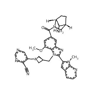 COc1cc(C(=O)N2C[C@H]3CC[C@@H]2[C@@H]3N)cc2nc(-c3cc4cccnc4n3C)n(CC3CN(c4cncnc4C#N)C3)c12